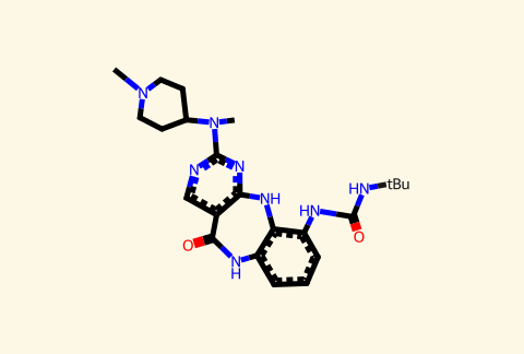 CN1CCC(N(C)c2ncc3c(n2)Nc2c(NC(=O)NC(C)(C)C)cccc2NC3=O)CC1